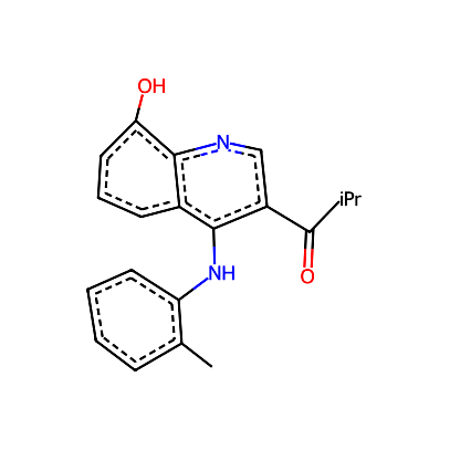 Cc1ccccc1Nc1c(C(=O)C(C)C)cnc2c(O)cccc12